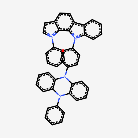 c1ccc(N2c3ccccc3N(c3ccc(-n4c5ccccc5c5ccc6ccn(-c7ccccc7)c6c54)cc3)c3ccccc32)cc1